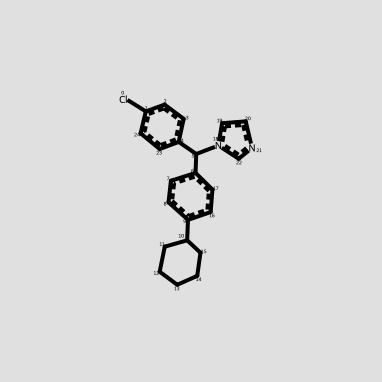 Clc1ccc(C(c2ccc(C3CCCCC3)cc2)n2ccnc2)cc1